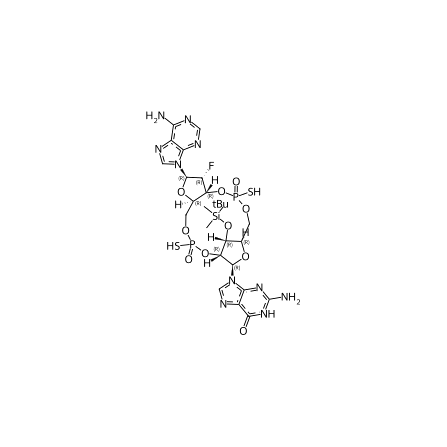 CC(C)(C)[Si](C)(C)O[C@H]1[C@H]2OP(=O)(S)OC[C@H]3O[C@@H](n4cnc5c(N)ncnc54)[C@H](F)[C@@H]3OP(=O)(S)OC[C@H]1O[C@H]2n1cnc2c(=O)[nH]c(N)nc21